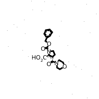 O=C(O)[C@@H]1[C@@H](C(=O)N2CCOCC2)CCN1C(=O)OCc1ccccc1